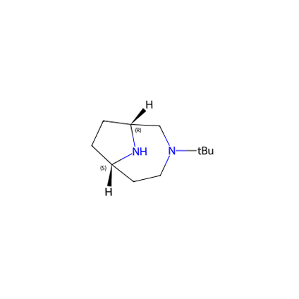 CC(C)(C)N1CC[C@@H]2CC[C@H](C1)N2